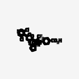 COC1(CN(CC(=O)c2c(Cl)cncc2Cl)C(=O)c2cnn([C@H]3CC[C@@H](C(=O)O)CC3)c2C(F)(F)F)CCCC1